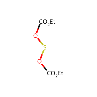 CCOC(=O)OSOC(=O)OCC